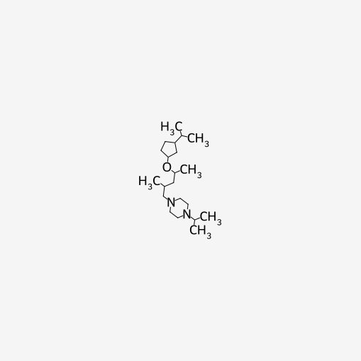 CC(CC(C)OC1CCC(C(C)C)C1)CN1CCN(C(C)C)CC1